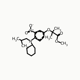 COC(=O)C(C)(C)Oc1ccc(N(CC(C)C)C2CCCCC2)c([N+](=O)[O-])c1